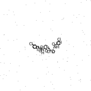 O=C(NC[C@@H]1CCCN1C(=O)CN1CCC[C@H](NS(=O)(=O)c2cc3cc(Cl)ccc3s2)C1=O)c1ccnc(Cl)c1